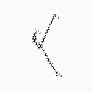 CCCCCCCCCCCCCCCCCCCOc1ccc(C=CC(=S)c2ccc(CCC)cc2)cc1OCCCCCCCCCCCCCCCCCCC